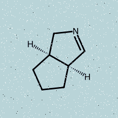 C1=NC[C@@H]2CCC[C@H]12